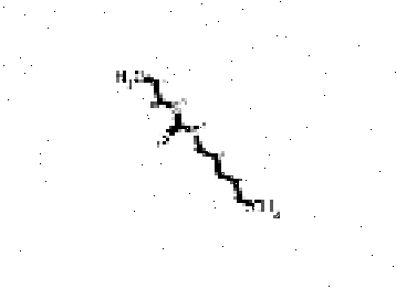 CCCCCCSC(=S)SCCC